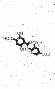 O=C(O)c1cnc(NC(=O)c2cc(O)c(C(=O)O)cc2O)c(C(=O)O)c1